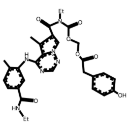 CCNC(=O)c1ccc(C)c(Nc2ncnn3cc(C(=O)N(CC)C(=O)OCOC(=O)Cc4ccc(O)cc4)c(C)c23)c1